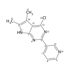 Cc1[nH]c2nc(-c3cccnc3)nc(Cl)c2c1C